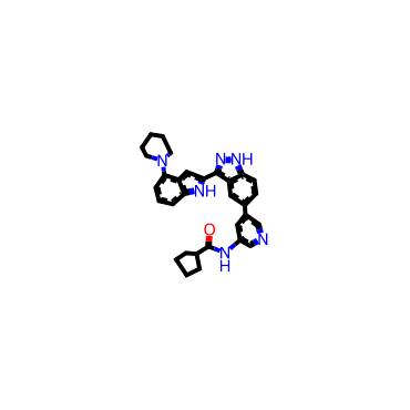 O=C(Nc1cncc(-c2ccc3[nH]nc(-c4cc5c(N6CCCCC6)cccc5[nH]4)c3c2)c1)C1CCCC1